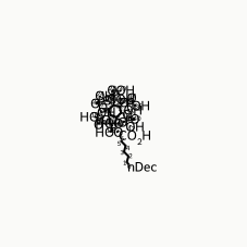 CCCCCCCCCCCCCCCC(=O)O.O=P(O)(O)O[C@H]1[C@H](OP(=O)(O)O)[C@@H](OP(=O)(O)O)[C@H](OP(=O)(O)O)[C@@H](OP(=O)(O)O)[C@H]1OP(=O)(O)O